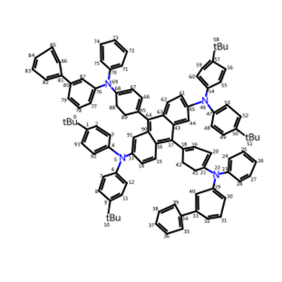 CC(C)(C)c1ccc(N(c2ccc(C(C)(C)C)cc2)c2ccc3c(C4=CC=C(N(c5ccccc5)c5cccc(-c6ccccc6)c5)CC4)c4cc(N(c5ccc(C(C)(C)C)cc5)c5ccc(C(C)(C)C)cc5)ccc4c(C4=CC=C(N(c5ccccc5)c5cccc(-c6ccccc6)c5)CC4)c3c2)cc1